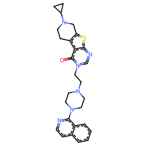 O=c1c2c3c(sc2ncn1CCN1CCN(c2nccc4ccccc24)CC1)CN(C1CC1)CC3